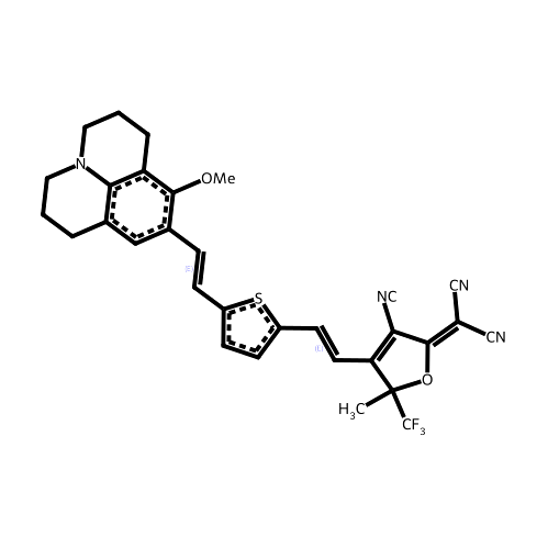 [C-]#[N+]C1=C(/C=C/c2ccc(/C=C/c3cc4c5c(c3OC)CCCN5CCC4)s2)C(C)(C(F)(F)F)OC1=C(C#N)C#N